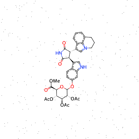 COC(=O)[C@H]1OC(Oc2ccc3c([C@H]4C(=O)NC(=O)[C@@H]4c4cn5c6c(cccc46)CCC5)c[nH]c3c2)[C@H](OC(C)=O)[C@@H](OC(C)=O)[C@@H]1OC(C)=O